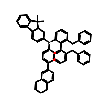 CC1(C)c2ccccc2C2=CC=C(N(c3ccc(-c4ccc5c(c4)C=CCC5)cc3)c3cccc(Cc4ccccc4)c3-c3ccccc3Cc3ccccc3)CC21